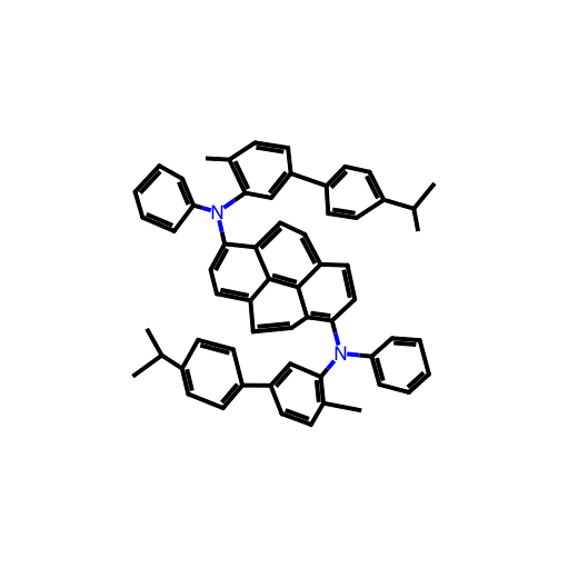 Cc1ccc(-c2ccc(C(C)C)cc2)cc1N(c1ccccc1)c1ccc2ccc3c(N(c4ccccc4)c4cc(-c5ccc(C(C)C)cc5)ccc4C)ccc4ccc1c2c43